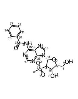 CS(=O)(=O)C1C(O)[C@@H](CO)O[C@H]1n1cnc2c(NC(=O)c3ccccc3)ncnc21